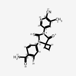 Cc1cc(N2C(=O)C3(CCC3)N(c3ccc(C(N)=O)c(F)c3)C2=S)cnc1C#N